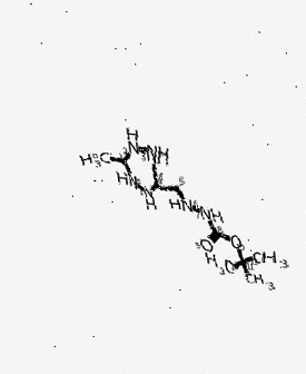 CC1NNC(CNNC(=O)OC(C)(C)C)NN1